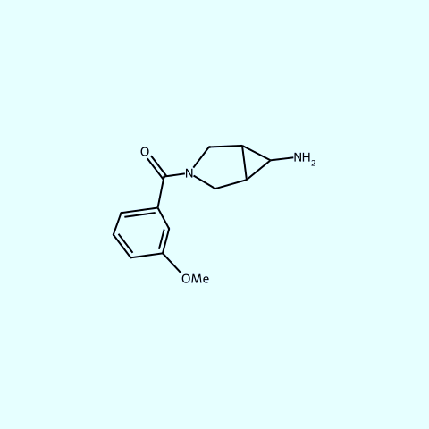 COc1cccc(C(=O)N2CC3C(N)C3C2)c1